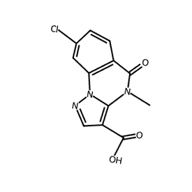 Cn1c(=O)c2ccc(Cl)cc2n2ncc(C(=O)O)c12